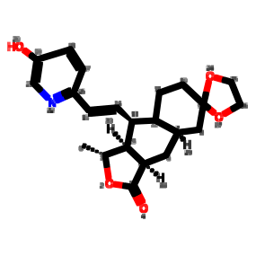 C[C@H]1OC(=O)[C@@H]2C[C@@H]3CC4(CCC3[C@H](/C=C/c3ccc(O)cn3)[C@H]12)OCCO4